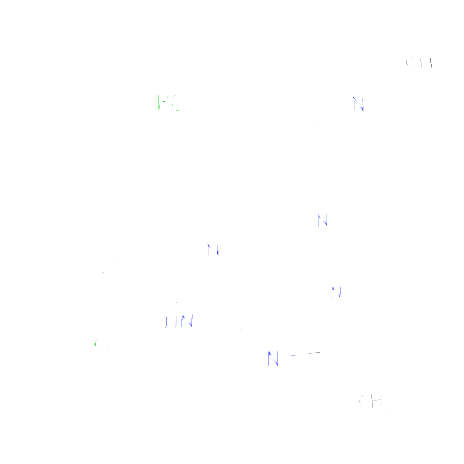 CCN1CCN(c2nc(C)nc3[nH]c(-c4ccccc4Cl)nc23)CC1.Cl